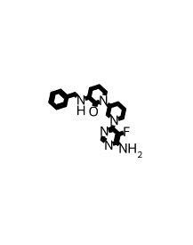 Nc1ncnc(N2CCCC(N3CCCC(NCc4ccccc4)C3=O)C2)c1F